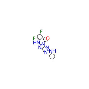 Fc1ccc(Nc2nc3cnc(NC4CCCCC4)nc3n2[C@H]2CCOC2)c(F)c1